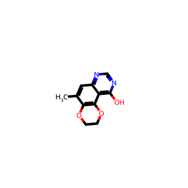 Cc1cc2ncnc(O)c2c2c1OCCO2